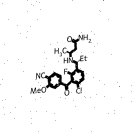 CC[C@@H](N[C@@H](C)CC(N)=O)c1ccc(Cl)c(C(=O)c2ccc(C#N)c(OC)c2)c1F